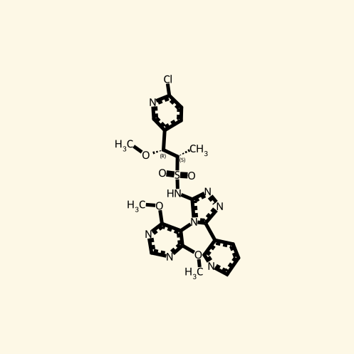 COc1ncnc(OC)c1-n1c(NS(=O)(=O)[C@@H](C)[C@H](OC)c2ccc(Cl)nc2)nnc1-c1cccnc1